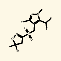 CCC1(C)CC(S(=O)(=O)Cc2c(Cl)nn(C)c2C(F)F)=NO1